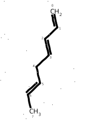 C=CC=CCC=CC